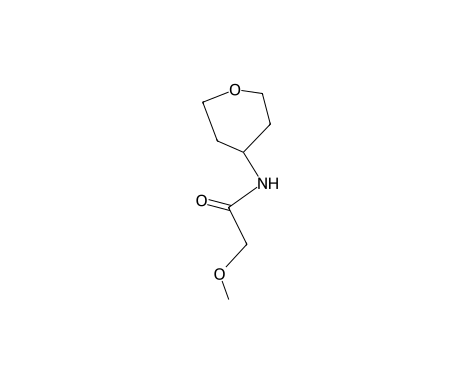 COCC(=O)NC1CCOCC1